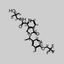 Cc1cc(C(C)N2Cc3c(ccnc3C(=O)NCC(C)(C)O)C2=O)cnc1OCC(F)(F)F